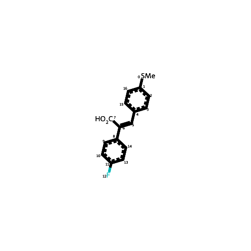 CSc1ccc(/C=C(\C(=O)O)c2ccc(F)cc2)cc1